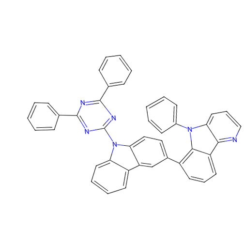 c1ccc(-c2nc(-c3ccccc3)nc(-n3c4ccccc4c4cc(-c5cccc6c7ncccc7n(-c7ccccc7)c56)ccc43)n2)cc1